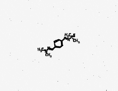 CN(C)N=Cc1ccc(P=NP(C)(C)=S)cc1